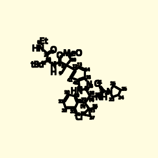 CCNC(=O)[C@H](NC(=O)C(C)(COC)c1ccc2nc([C@@H](NC(=O)N3CCCC3)[C@H](c3ccccc3Cl)C3(C)CC3)[nH]c2c1)C(C)(C)C